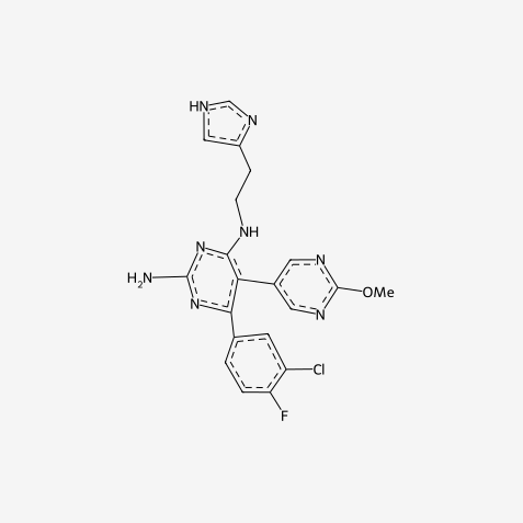 COc1ncc(-c2c(NCCc3c[nH]cn3)nc(N)nc2-c2ccc(F)c(Cl)c2)cn1